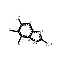 Cc1c(Cl)cc2nc(S)oc2c1C